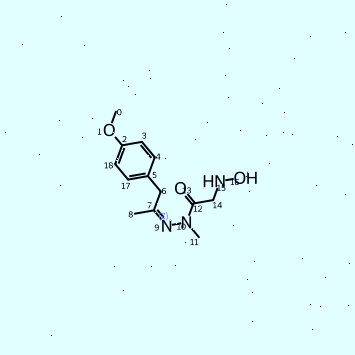 COc1ccc(C/C(C)=N\N(C)C(=O)CNO)cc1